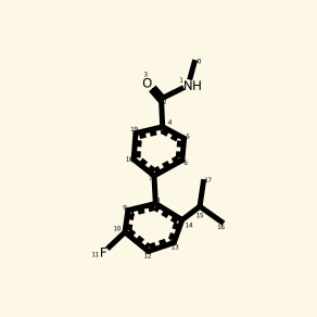 CNC(=O)c1ccc(-c2cc(F)ccc2C(C)C)cc1